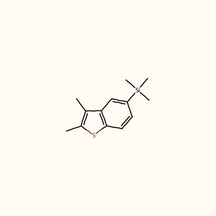 Cc1sc2ccc([Si](C)(C)C)cc2c1C